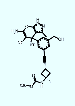 Cc1n[nH]c2c1C(c1cc(C#C[C@H]3C[C@](C)(NC(=O)OC(C)(C)C)C3)cc(CO)c1)(C(C)C)C(C#N)=C(N)O2